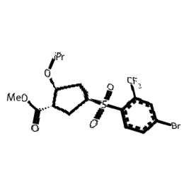 COC(=O)[C@H]1C[C@H](S(=O)(=O)c2ccc(Br)cc2C(F)(F)F)C[C@@H]1OC(C)C